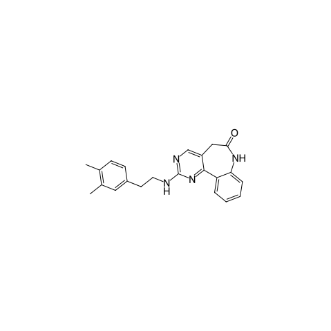 Cc1ccc(CCNc2ncc3c(n2)-c2ccccc2NC(=O)C3)cc1C